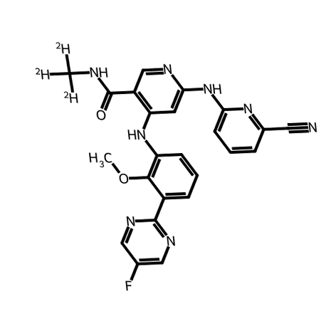 [2H]C([2H])([2H])NC(=O)c1cnc(Nc2cccc(C#N)n2)cc1Nc1cccc(-c2ncc(F)cn2)c1OC